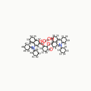 OB(O)Oc1c(Oc2cc(N(c3ccccc3)c3ccccc3)c3ccccc3c2)cccc1Oc1cc(N(c2ccccc2)c2ccccc2)c2ccccc2c1